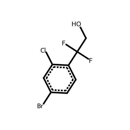 OCC(F)(F)c1ccc(Br)cc1Cl